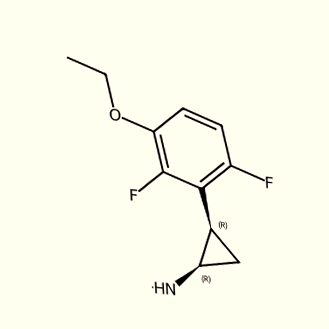 CCOc1ccc(F)c([C@H]2C[C@H]2[NH])c1F